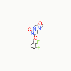 O=c1nc(OCc2cccc(F)c2F)cc2n1CC1OCCN21